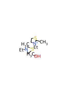 CCN1CCSC1C.CC[N+]1=C(C)SCC1.CO